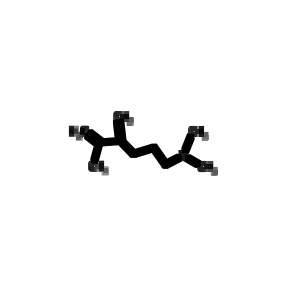 C=C(C)C(=C)CCCN(C)C